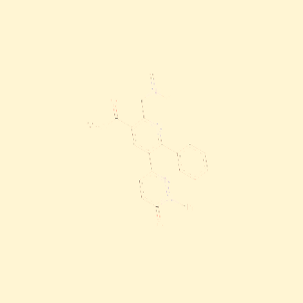 [CH]=[N+]([O-])Cc1nc(-c2ccccc2)c(-c2ccc(=O)n(C(C)C)n2)cc1C(=O)OC